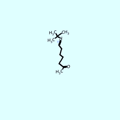 CC(=O)CCCC/C=N/C(C)(C)C